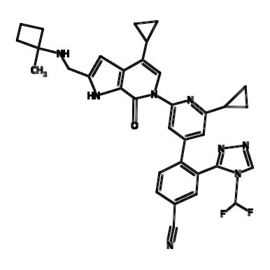 CC1(NCc2cc3c(C4CC4)cn(-c4cc(-c5ccc(C#N)cc5-c5nncn5C(F)F)cc(C5CC5)n4)c(=O)c3[nH]2)CCC1